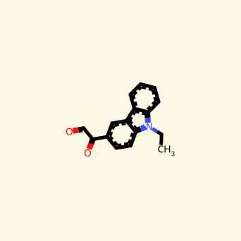 CCn1c2ccccc2c2cc(C(=O)C=O)ccc21